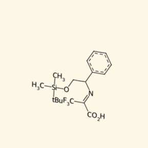 CC(C)(C)[Si](C)(C)OCC(N=C(C(=O)O)C(F)(F)F)c1ccccc1